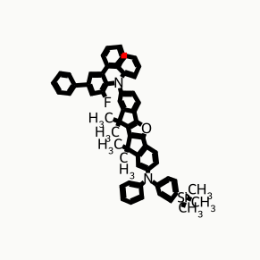 CC1(C)c2cc(N(c3ccccc3)c3ccc([Si](C)(C)C)cc3)ccc2-c2oc3c(c21)C(C)(C)c1cc(N(c2ccccc2)c2c(F)cc(-c4ccccc4)cc2-c2ccccc2)ccc1-3